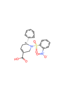 O=C(O)C1=CC[C@H](c2ccccc2)N(S(=O)(=O)c2ccccc2[N+](=O)[O-])C1